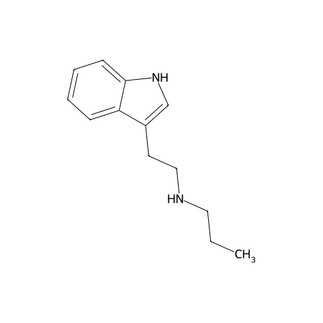 CCCNCCc1c[nH]c2ccccc12